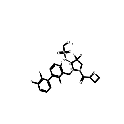 CCS(=O)(=O)N[C@@H]1[C@H](Cc2c(F)ccc(-c3cccc(F)c3F)c2F)N(C(=O)C2CCO2)CC1(F)F